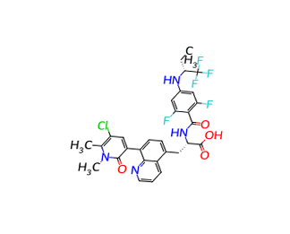 CC[C@@H](Nc1cc(F)c(C(=O)N[C@@H](Cc2ccc(-c3cc(Cl)c(C)n(C)c3=O)c3ncccc23)C(=O)O)c(F)c1)C(F)(F)F